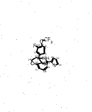 O=C(NC1(c2ccc(OC(F)(F)F)c(F)c2)CCOc2cccnc21)c1cccs1